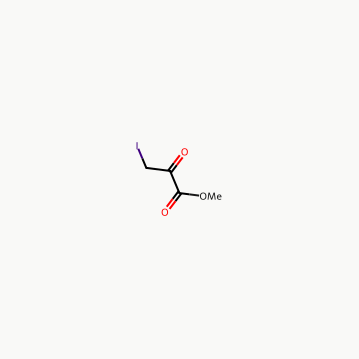 COC(=O)C(=O)CI